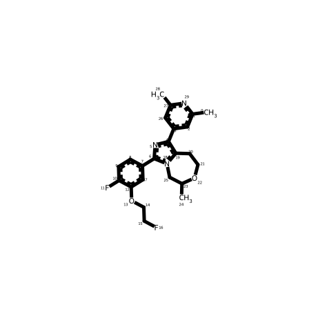 Cc1cc(-c2nc(-c3ccc(F)c(OCCF)c3)n3c2CCOC(C)C3)cc(C)n1